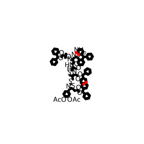 CC(=O)Oc1ccc(-c2nc(SCC3=C(C(=O)OC(c4ccccc4)c4ccccc4)N4C(=O)[C@@H](NC(=O)C(=NOC(C)(C)C(=O)OC(c5ccccc5)c5ccccc5)c5nc(N)sc5-c5ccccc5C(c5ccccc5)c5ccccc5)[C@@H]4SC3)sc2CC(=O)OC(c2ccccc2)c2ccccc2)cc1OC(C)=O